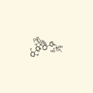 CC[C@H]1c2cc(-c3c(F)cccc3F)nnc2[C@](C)(c2cccc(-c3cnn(C[C@@](C)(O)CO)c3)n2)C1(C)C